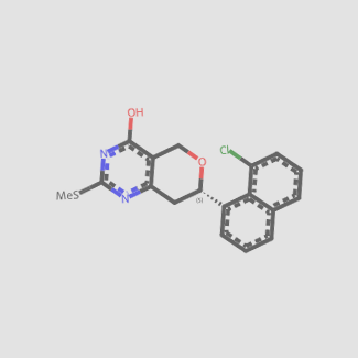 CSc1nc(O)c2c(n1)C[C@@H](c1cccc3cccc(Cl)c13)OC2